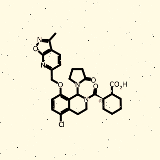 Cc1noc2nc(COc3ccc(Cl)c4c3C(N3CCCC3=O)N(C(=O)[C@@H]3CCCCC3C(=O)O)CC4)ccc12